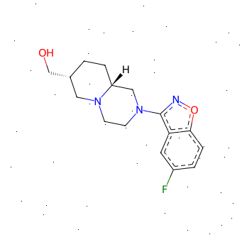 OC[C@@H]1CC[C@@H]2CN(c3noc4ccc(F)cc34)CCN2C1